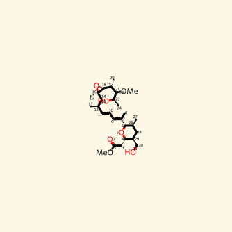 COC(=O)C[C@@H]1O[C@H](/C(C)=C/C=C/[C@@H](C)C[C@@]2(C)O[C@@H]2[C@H](C)C(OC)[C@@H](C)O)[C@@H](C)C[C@H]1CO